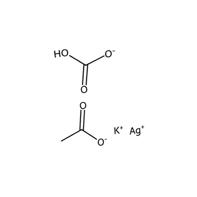 CC(=O)[O-].O=C([O-])O.[Ag+].[K+]